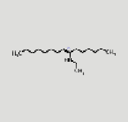 CCCCCCC/C=C(/CCCCCC)NCC